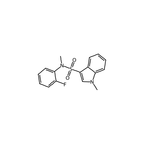 CN(c1ccccc1F)S(=O)(=O)c1cn(C)c2ccccc12